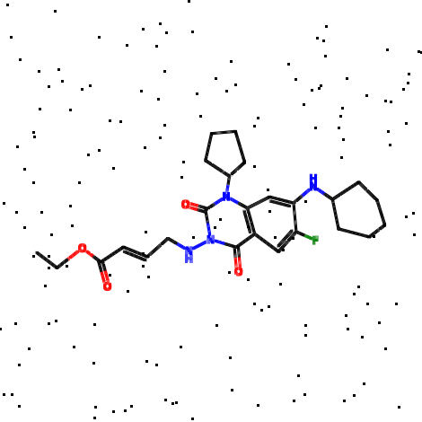 CCOC(=O)/C=C/CNn1c(=O)c2cc(F)c(NC3CCCCC3)cc2n(C2CCCC2)c1=O